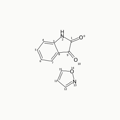 O=C1Nc2ccccc2C1=O.c1cnoc1